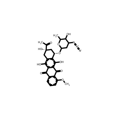 COc1cccc2c1C(=O)c1c(O)c3c(c(O)c1C2=O)C[C@@](O)(C(C)=O)C[C@@H]3OC1CC(N=[N+]=[N-])C(O)C(C)O1